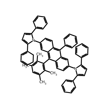 Cc1cc(C)c(C)c(-c2c3ccc(-n4c(-c5ccccc5)ccc4-c4ccccc4)cc3c(-c3ccccc3)c3ccc(-n4c(C5=CC=CCC5)ccc4-c4ccccc4)cc23)c1C